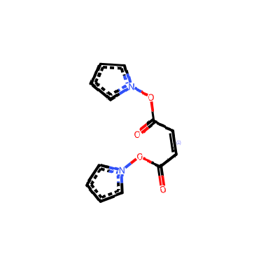 O=C(/C=C\C(=O)On1cccc1)On1cccc1